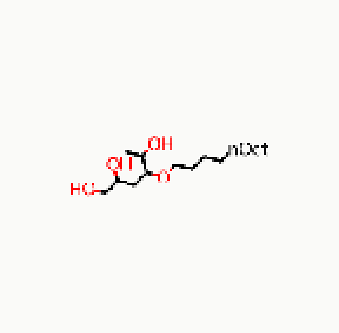 [CH2]C(O)C(CC(O)CO)OCCCCCCCCCCCC